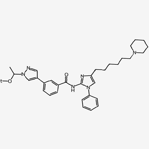 CCOC(C)n1cc(-c2cccc(C(=O)Nc3nc(CCCCCCN4CCCCC4)cn3-c3ccccc3)c2)cn1